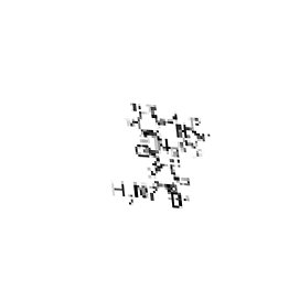 NCc1cc(C(=O)N2Cc3cccn3Cc3ccccc32)ccc1Br